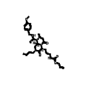 C=CCOC(=O)NCCC[C@H]1C(=O)N(CCCC)C[C@H]2N1C(=O)CN(C)N2C(=O)NCc1ccc(OC)cc1